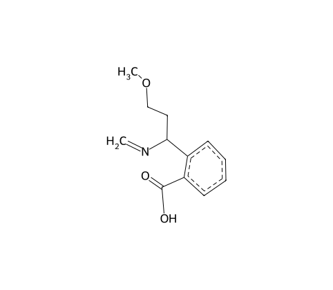 C=NC(CCOC)c1ccccc1C(=O)O